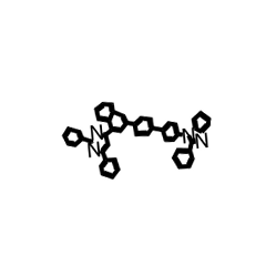 c1ccc(-c2cc(-c3cc(-c4ccc(-c5ccc(-n6c(-c7ccccc7)nc7ccccc76)cc5)cc4)cc4ccccc34)nc(-c3ccccc3)n2)cc1